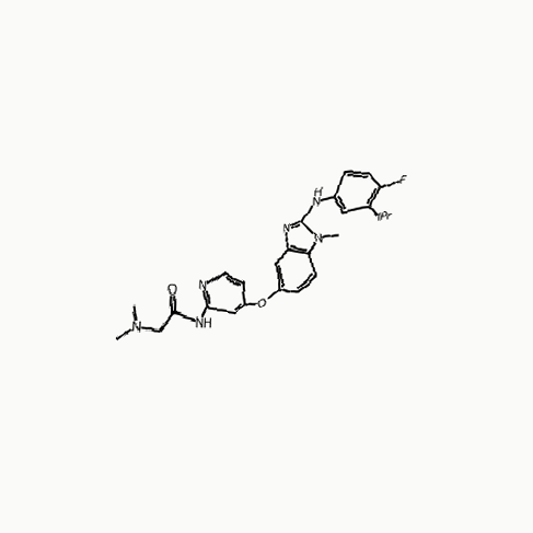 CC(C)c1cc(Nc2nc3cc(Oc4ccnc(NC(=O)CN(C)C)c4)ccc3n2C)ccc1F